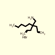 Br.C=CCC(CN)(CC=C)CCCCC